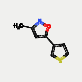 [CH2]c1cc(-c2ccsc2)on1